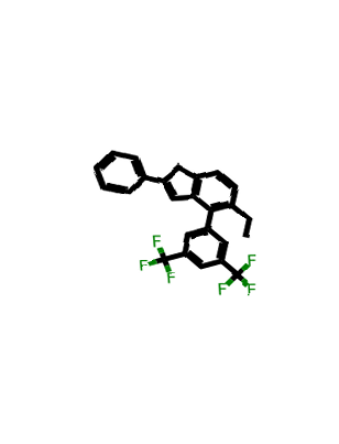 CCc1ccc2c(c1-c1cc(C(F)(F)F)cc(C(F)(F)F)c1)C=C(c1ccccc1)[CH]2